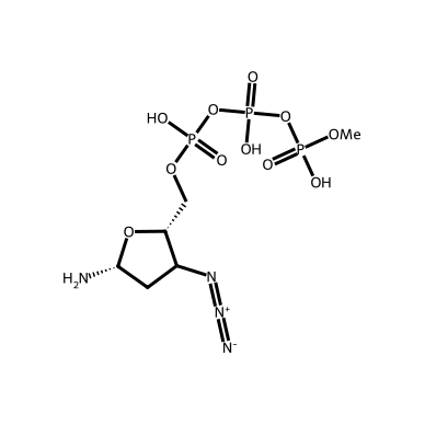 COP(=O)(O)OP(=O)(O)OP(=O)(O)OC[C@H]1O[C@@H](N)CC1N=[N+]=[N-]